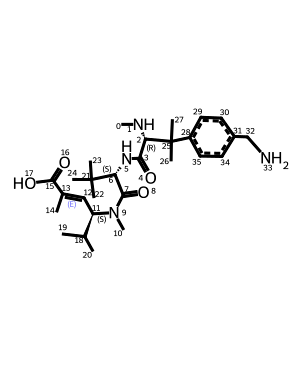 CN[C@@H](C(=O)N[C@H](C(=O)N(C)[C@H](/C=C(\C)C(=O)O)C(C)C)C(C)(C)C)C(C)(C)c1ccc(CN)cc1